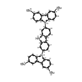 CC(C)(C)c1ccc2c(c1)c1cc(C(C)(C)C)ccc1n2-c1ccc2c(c1)[nH]c1cc(-n3c4ccc(C(C)(C)C)cc4c4cc(C(C)(C)C)ccc43)ccc12